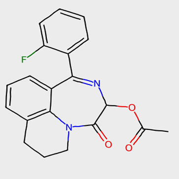 CC(=O)OC1N=C(c2ccccc2F)c2cccc3c2N(CCC3)C1=O